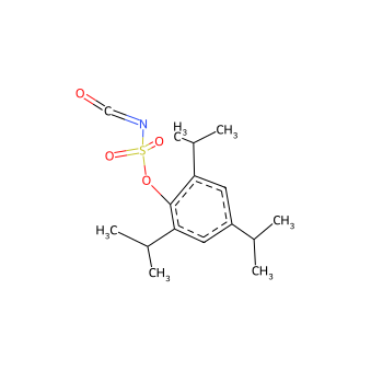 CC(C)c1cc(C(C)C)c(OS(=O)(=O)N=C=O)c(C(C)C)c1